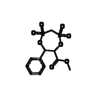 COC(=O)C1OS(=O)(=O)CS(=O)(=O)OC1c1ccccc1